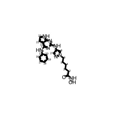 O=C(CCCCCn1cc(Nc2nc(Nc3ccccc3)c3cc[nH]c3n2)cn1)NO